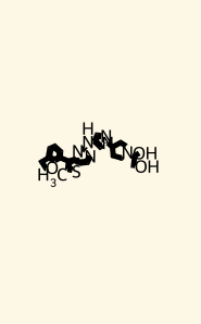 Cc1sc2cnc(Nc3cnn(C4CCN(C(O)CO)CC4)c3)nc2c1-c1cccc2c1OCC2